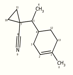 CC1=CCC(C(C)C2(C#N)CC2)CC1